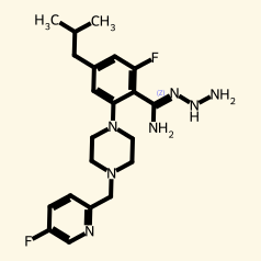 CC(C)Cc1cc(F)c(/C(N)=N/NN)c(N2CCN(Cc3ccc(F)cn3)CC2)c1